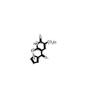 CCOC(=O)c1cc(C(=O)c2ccc[nH]2)c(CC)[nH]c1=O